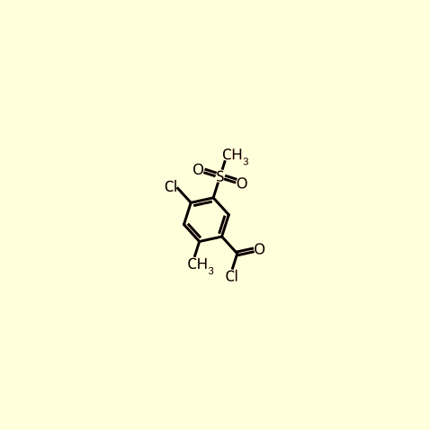 Cc1cc(Cl)c(S(C)(=O)=O)cc1C(=O)Cl